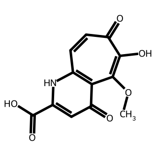 COc1c(O)c(=O)ccc2[nH]c(C(=O)O)cc(=O)c12